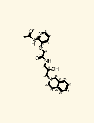 CC(=O)Nc1ncccc1OCC(=O)NCC(O)CN1CCc2ccccc2C1